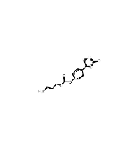 C=CCCOC(=O)Oc1ccc(-c2noc(=O)o2)cc1